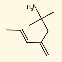 C=C(C=CC)CC(C)(C)N